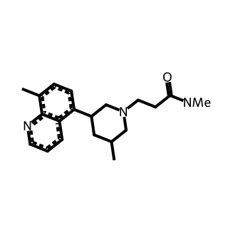 CNC(=O)CCN1CC(C)CC(c2ccc(C)c3ncccc23)C1